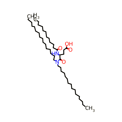 CCCCCCCCCCCCCCCCN(CCCCCCCCCCCCCCCC)C(=O)C(CCC(=O)O)NC(=O)CCCCCCCCCCC